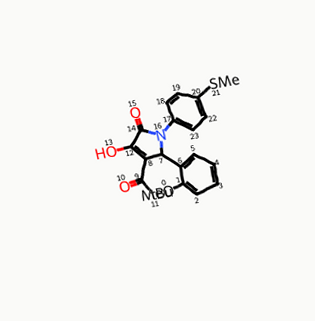 COc1ccccc1C1C(C(=O)C(C)(C)C)=C(O)C(=O)N1c1ccc(SC)cc1